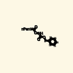 CCCCCC(=O)ONC(=O)OCc1ccccc1